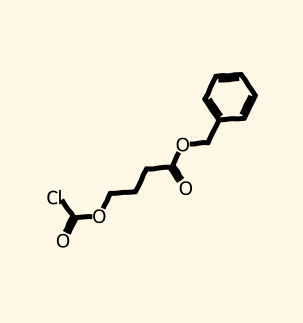 O=C(Cl)OCCCC(=O)OCc1ccccc1